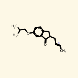 C/C=C/CC1Cc2ccc(OCC(C)C)cc2C1=O